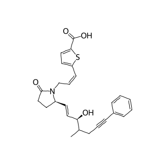 CC(CC#Cc1ccccc1)[C@H](O)/C=C/[C@H]1CCC(=O)N1C/C=C\c1ccc(C(=O)O)s1